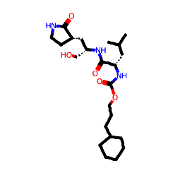 CC(C)C[C@H](NC(=O)OCCCC1CCCCC1)C(=O)N[C@H](CO)C[C@@H]1CCNC1=O